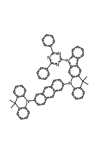 CC1(C)c2ccccc2N(c2ccc3cc4cc(N5c6ccccc6C(C)(C)c6cc7c8ccccc8n(-c8nc(-c9ccccc9)nc(-c9ccccc9)n8)c7cc65)ccc4cc3c2)c2ccccc21